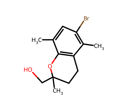 Cc1cc(Br)c(C)c2c1OC(C)(CO)CC2